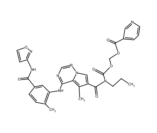 CCCN(C(=O)OCOC(=O)c1cccnc1)C(=O)c1cn2ncnc(Nc3cc(C(=O)Nc4ccon4)ccc3C)c2c1C